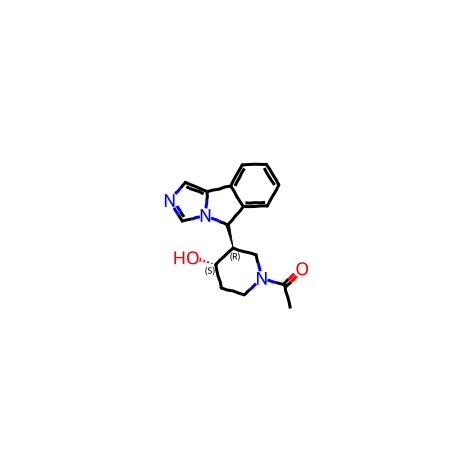 CC(=O)N1CC[C@H](O)[C@@H](C2c3ccccc3-c3cncn32)C1